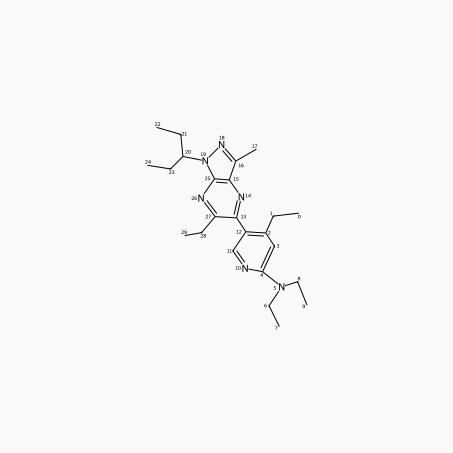 CCc1cc(N(CC)CC)ncc1-c1nc2c(C)nn(C(CC)CC)c2nc1CC